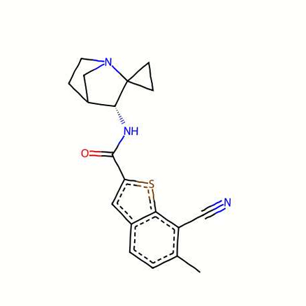 Cc1ccc2cc(C(=O)N[C@@H]3C4CCN(C4)C34CC4)sc2c1C#N